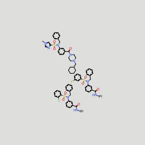 CC(C)NC(=O)c1cccc(N(Cc2ccccc2)S(=O)(=O)c2cccc(F)c2)c1.CC(C)NC(=O)c1cccc(N(Cc2ccccc2)S(=O)(=O)c2ccccc2F)c1.Cn1cnc(S(=O)(=O)N(Cc2ccccc2)c2cccc(C(=O)N3CCN(CC4CCCCC4)CC3)c2)c1